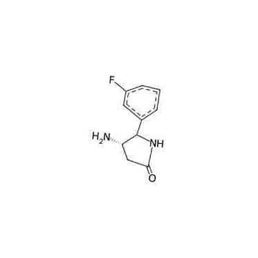 N[C@H]1CC(=O)NC1c1cccc(F)c1